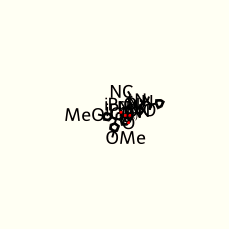 COc1ccc(C(OC[C@]23COC(C2OP(OCCC#N)N(C(C)C)C(C)C)[C@H](n2cnc4c(N(C)C(=O)c5ccccc5)ncnc42)O3)(c2ccccc2)c2ccc(OC)cc2)cc1